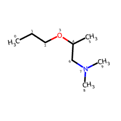 CCCOC(C)CN(C)C